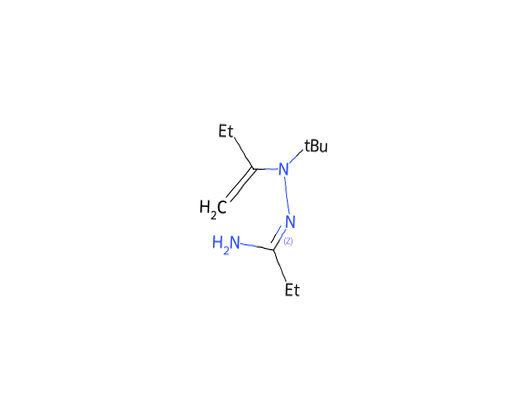 C=C(CC)N(/N=C(\N)CC)C(C)(C)C